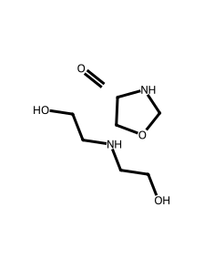 C1COCN1.C=O.OCCNCCO